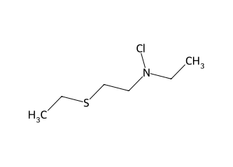 CCSCCN(Cl)CC